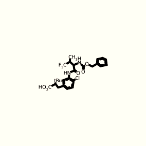 CC(C(NC(=O)OCc1ccccc1)C(=O)Nc1cc(CC(C(=O)O)C(C)(C)C)ccc1Cl)C(F)(F)F